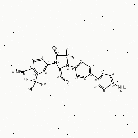 CC1(C)C(=O)N(c2ccc(C#N)c(C(F)(F)F)c2)C(=S=O)N1c1ccc(-c2ccc(N)cc2)cc1